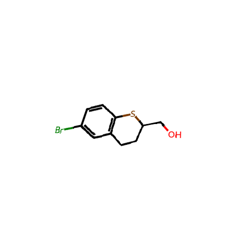 OCC1CCc2cc(Br)ccc2S1